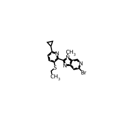 CCSc1ccc(C2CC2)nc1-c1nc2cc(Br)ncc2n1C